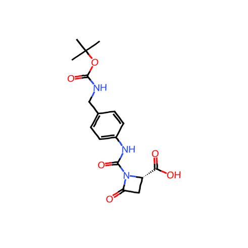 CC(C)(C)OC(=O)NCc1ccc(NC(=O)N2C(=O)C[C@H]2C(=O)O)cc1